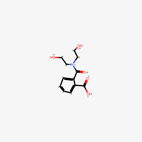 O=C(O)c1ccccc1C(=O)N(CCO)CCO